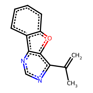 C=C(C)c1ncnc2c1oc1ccccc12